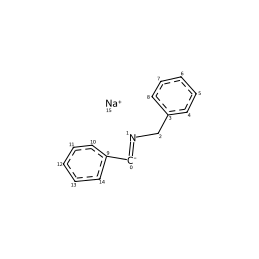 [C-](=NCc1ccccc1)c1ccccc1.[Na+]